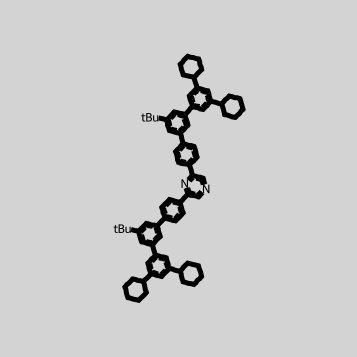 CC(C)(C)c1cc(-c2ccc(-c3cncc(-c4ccc(-c5cc(-c6cc(C7CCCCC7)cc(C7CCCCC7)c6)cc(C(C)(C)C)c5)cc4)n3)cc2)cc(-c2cc(C3CCCCC3)cc(C3CCCCC3)c2)c1